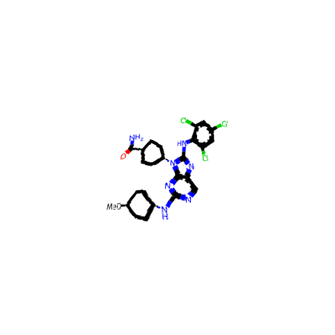 CO[C@H]1CC[C@H](Nc2ncc3nc(Nc4c(Cl)cc(Cl)cc4Cl)n([C@H]4CC[C@H](C(N)=O)CC4)c3n2)CC1